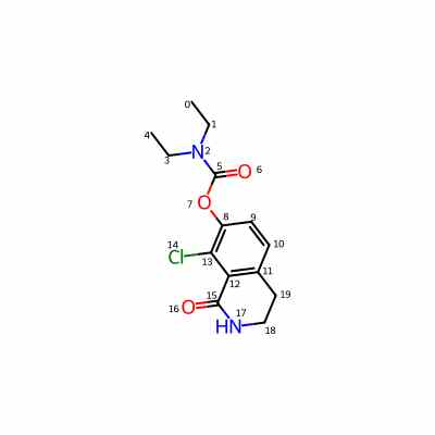 CCN(CC)C(=O)Oc1ccc2c(c1Cl)C(=O)NCC2